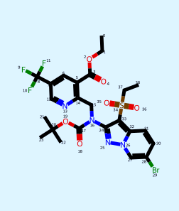 CCOC(=O)c1cc(C(F)(F)F)cnc1CN(C(=O)OC(C)(C)C)c1nn2cc(Br)ccc2c1S(=O)(=O)CC